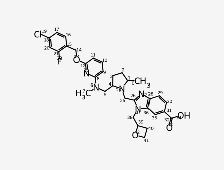 CC1CCC(CN(C)c2cccc(OCc3ccc(Cl)cc3F)n2)N1Cc1nc2ccc(C(=O)O)cc2n1CC1CCO1